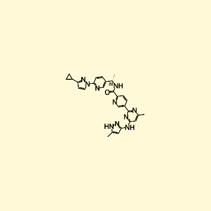 Cc1cc(Nc2cc(C)[nH]n2)nc(-c2ccc(C(=O)N[C@@H](C)c3ccc(-n4ccc(C5CC5)n4)nc3)nc2)n1